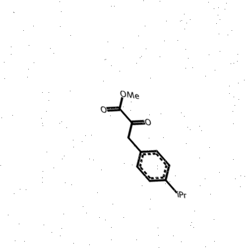 COC(=O)C(=O)Cc1ccc(C(C)C)cc1